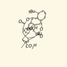 CC1=CC2C3C(=O)Oc4c5cccc(C(C)(C)C)c5c(c5cccc(C(C)(C)C)c45)OC(=O)C4C(C(=O)O)C5C(C)=CC4C25C1C3C(=O)O